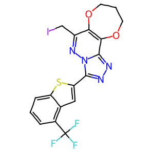 FC(F)(F)c1cccc2sc(-c3nnc4c5c(c(CI)nn34)OCCCO5)cc12